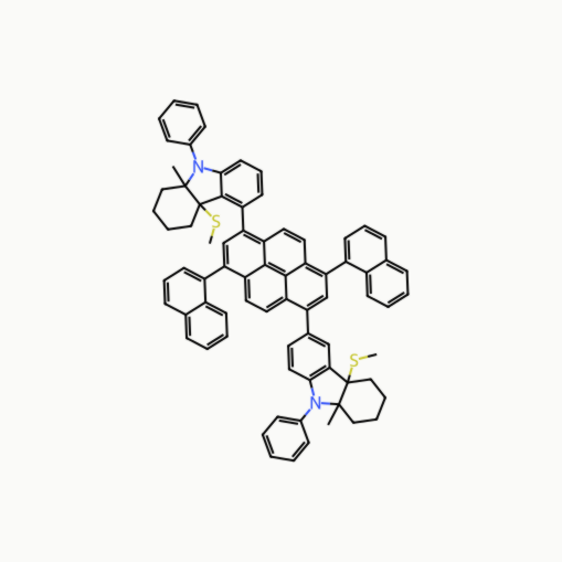 CSC12CCCCC1(C)N(c1ccccc1)c1ccc(-c3cc(-c4cccc5ccccc45)c4ccc5c(-c6cccc7c6C6(SC)CCCCC6(C)N7c6ccccc6)cc(-c6cccc7ccccc67)c6ccc3c4c56)cc12